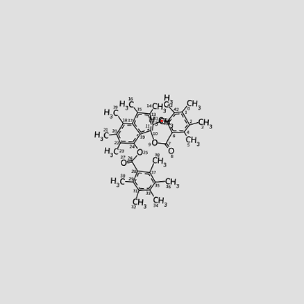 Cc1c(C)c(C)c(C(=O)Oc2c(C)c(C)c(C)c3c(C)c(C)c(C)c(OC(=O)c4c(C)c(C)c(C)c(C)c4C)c23)c(C)c1C